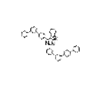 C[Si]1(C)c2ccccc2-c2c(-c3ccc(-c4cccc(-c5ccccc5)c4)cc3)nc(-c3cccc(-c4cccc(-c5ccc(-c6ccccc6)cc5)c4)c3)nc21